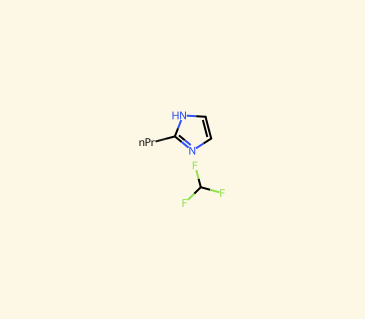 CCCc1ncc[nH]1.FC(F)F